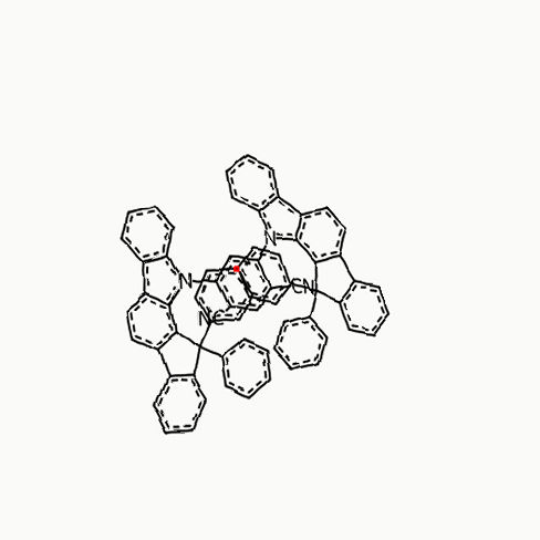 N#Cc1cc(C#N)c(-n2c3ccccc3c3ccc4c(c32)C(c2ccccc2)(c2ccccc2)c2ccccc2-4)cc1-n1c2ccccc2c2ccc3c(c21)C(c1ccccc1)(c1ccccc1)c1ccccc1-3